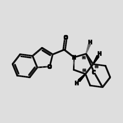 O=C(c1cc2ccccc2o1)N1C[C@H]2CC3CC[C@H]2[C@H]1C3